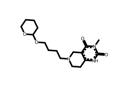 Cn1c(=O)[nH]c2c(c1=O)CN(CCCCOC1CCCCO1)CC2